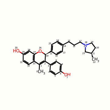 CC1=C(c2ccc(O)cc2)[C@H](c2ccc(CCCN3CC[C@@H](C)C3)cc2)Oc2cc(O)ccc21